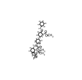 COC(=O)c1cc(-c2cnc(N(Cc3cccc(OC(F)(F)F)c3)C(=O)OC(C)(C)C)nc2)ccc1OCc1ccccc1